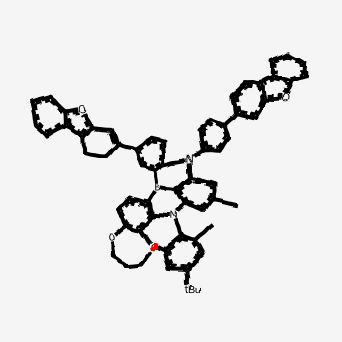 Cc1cc2c3c(c1)N(c1c(C)cc(C(C)(C)C)cc1C)c1c(ccc4c1OCCCO4)B3c1cc(C3=Cc4oc5ccccc5c4CC3)ccc1N2c1ccc(-c2ccc3c(c2)oc2ccccc23)cc1